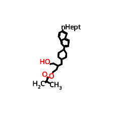 C=C(C)C(=O)OCCC(CCO)CC1CCC(c2ccc3cc(CCCCCCC)ccc3c2)CC1